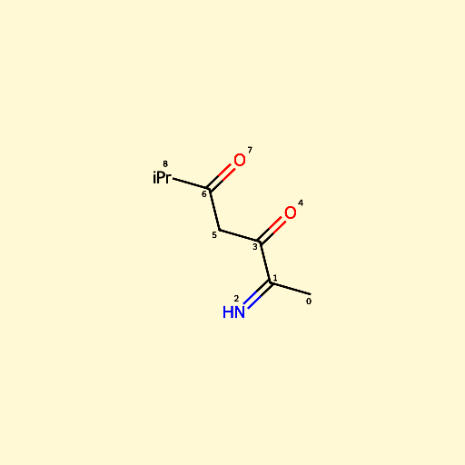 CC(=N)C(=O)CC(=O)C(C)C